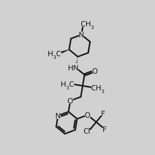 C[C@H]1CN(C)CC[C@@H]1NC(=O)C(C)(C)COc1ncccc1OC(F)(F)Cl